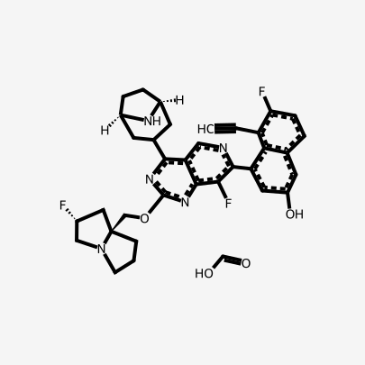 C#Cc1c(F)ccc2cc(O)cc(-c3ncc4c(C5C[C@H]6CC[C@@H](C5)N6)nc(OC[C@@]56CCCN5C[C@H](F)C6)nc4c3F)c12.O=CO